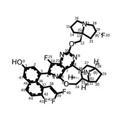 Oc1cc(-c2nc3c4c(nc(OC[C@@]56CCCN5C[C@H](F)C6)nc4c2F)N2C[C@H]4CC[C@H](N4)[C@H]2CO3)c2c(C=C(F)F)c(F)ccc2c1